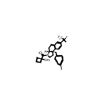 CC(F)(c1ccc2c(c1)CC[C@H]1N(C(=O)C3(O)CCC3)CC[C@@]21Cc1ccc(F)cc1)C(F)(F)F